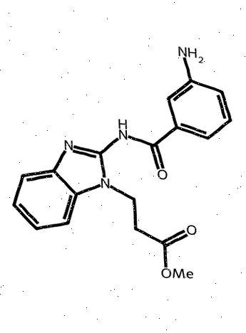 COC(=O)CCn1c(NC(=O)c2cccc(N)c2)nc2ccccc21